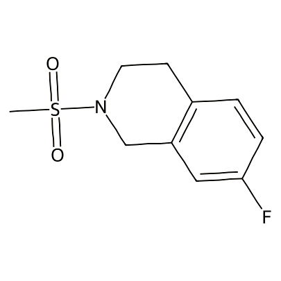 CS(=O)(=O)N1CCc2ccc(F)cc2C1